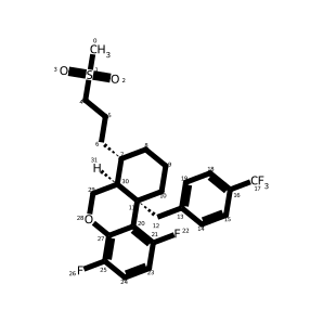 CS(=O)(=O)CCC[C@@H]1CCC[C@@]2(Cc3ccc(C(F)(F)F)cc3)c3c(F)ccc(F)c3OC[C@@H]12